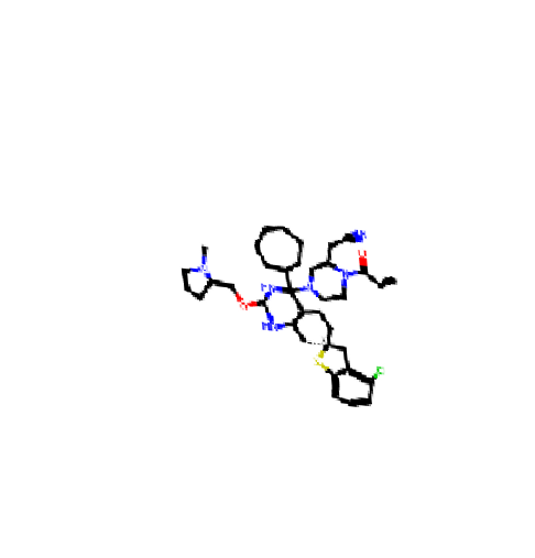 C=CC(=O)N1CCN(C2(C3CCCCCC3)NC(OCC3CCCN3C)NC3C[C@]4(CCC32)Cc2c(Cl)cccc2S4)CC1CC#N